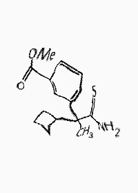 COC(=O)c1cccc(C(C)(C(N)=S)C2CCC2)c1